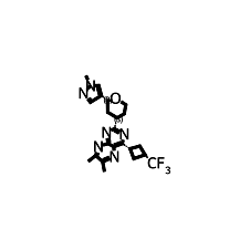 Cc1nc2nc([C@H]3CCO[C@@H](c4cnn(C)c4)C3)nc([C@H]3C[C@@H](C(F)(F)F)C3)c2nc1C